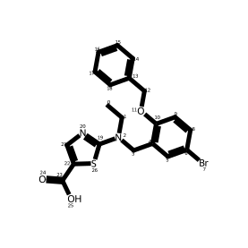 CCN(Cc1cc(Br)ccc1OCc1ccccc1)c1ncc(C(=O)O)s1